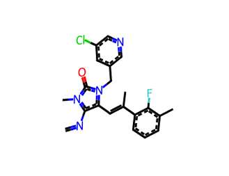 C=Nc1c(/C=C(\C)c2cccc(C)c2F)n(Cc2cncc(Cl)c2)c(=O)n1C